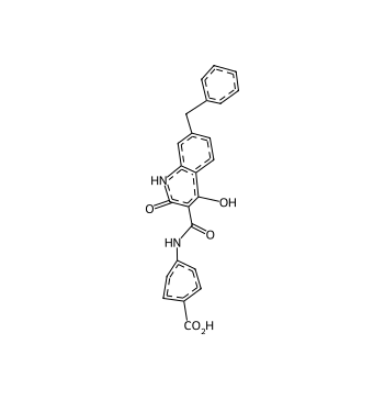 O=C(O)c1ccc(NC(=O)c2c(O)c3ccc(Cc4ccccc4)cc3[nH]c2=O)cc1